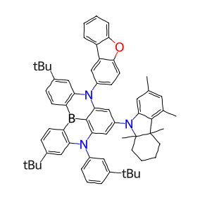 Cc1cc(C)c2c(c1)N(c1cc3c4c(c1)N(c1ccc5oc6ccccc6c5c1)c1cc(C(C)(C)C)ccc1B4c1ccc(C(C)(C)C)cc1N3c1cccc(C(C)(C)C)c1)C1(C)CCCCC21C